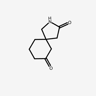 O=C1CCCC2(CNC(=O)C2)C1